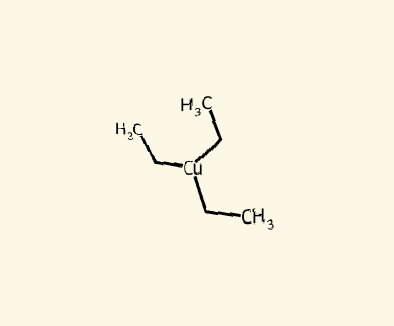 C[CH2][Cu]([CH2]C)[CH2]C